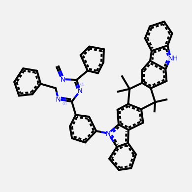 C=N/C(=N\C(=N/Cc1ccccc1)c1cccc(-n2c3ccccc3c3cc4c(cc32)C(C)(C)c2cc3c(cc2C4(C)C)[nH]c2ccccc23)c1)c1ccccc1